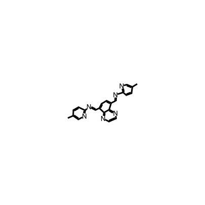 Cc1ccc(/N=C/c2ccc(/C=N/c3ccc(C)cn3)c3nccnc23)nc1